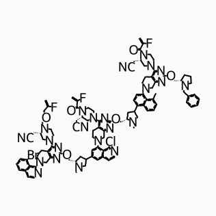 C=C(F)COCN1CCN(c2nc(OC[C@@H]3CC(c4cc(N5CCc6c(nc(OC[C@@H]7CC(c8ccc(N9CCc%10c(nc(OC[C@@H]%11CCCN%11Cc%11ccccc%11)nc%10N%10CCN(C(=O)C(=C)F)[C@@H](CC#N)C%10)C9)c9c(C)cccc89)CN7C)nc6N6CCN(C(=O)C(=C)F)[C@@H](CC#N)C6)C5)c5c(Cl)nccc5c4)CN3C)nc3c2CCN(c2nccc4cccc(Br)c24)C3)C[C@@H]1CC#N